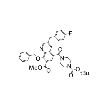 COC(=O)c1cc(C(=O)N2CCN(C(=O)OC(C)(C)C)CC2)c2cc(Cc3ccc(F)cc3)cnc2c1OCc1ccccc1